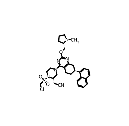 CN1CCC[C@H]1COc1nc2c(c(N3CCN(S(=O)(=O)CCl)[C@@H](CC#N)C3)n1)CC[C@H](c1cccc3ccccc13)C2